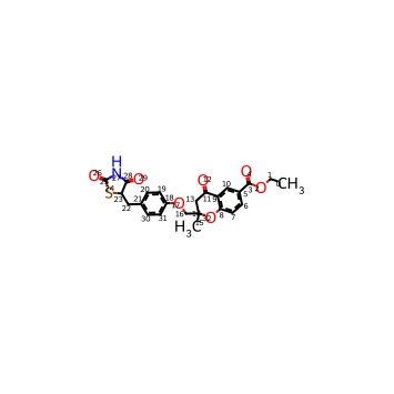 CCOC(=O)c1ccc2c(c1)C(=O)CC(C)(COc1ccc(CC3SC(=O)NC3=O)cc1)O2